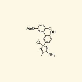 COc1ccc(Cl)c(-c2cc(C3(C4CC4)N=C(C)C(N)=N3)ccc2O)c1